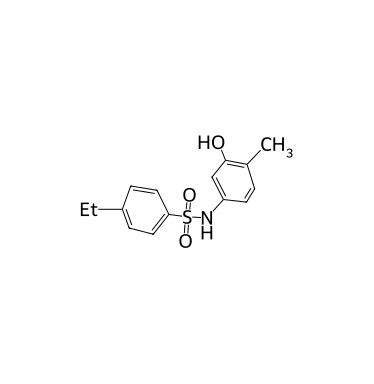 CCc1ccc(S(=O)(=O)Nc2ccc(C)c(O)c2)cc1